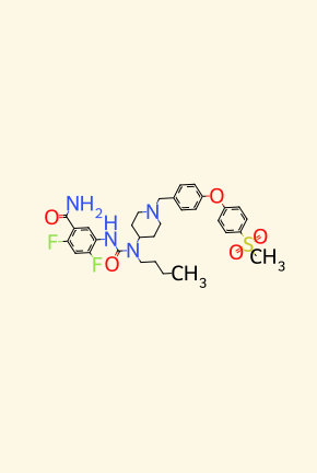 CCCCN(C(=O)Nc1cc(C(N)=O)c(F)cc1F)C1CCN(Cc2ccc(Oc3ccc(S(C)(=O)=O)cc3)cc2)CC1